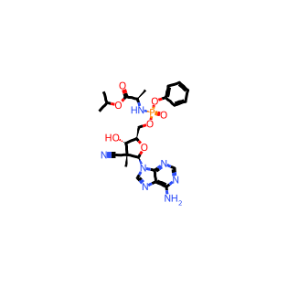 CC(C)OC(=O)[C@@H](C)N[P@@](=O)(OC[C@H]1O[C@@H](n2cnc3c(N)ncnc32)[C@](C)(C#N)[C@@H]1O)Oc1ccccc1